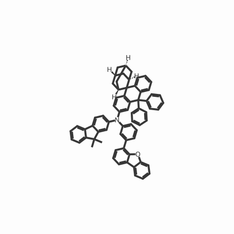 CC1(C)c2ccccc2-c2ccc(N(c3cccc(-c4cccc5c4oc4ccccc45)c3)c3ccc4c(c3)C(c3ccccc3)(c3ccccc3)c3ccccc3C43[C@H]4C[C@H]5C[C@H](C[C@H]3C5)C4)cc21